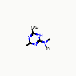 CCCN(C)C1=NC(C)N=C(NC)N1